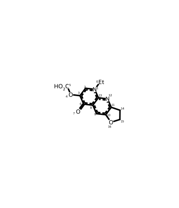 CCn1cc(OC(=O)O)c(=O)c2cc3c(nc21)CCO3